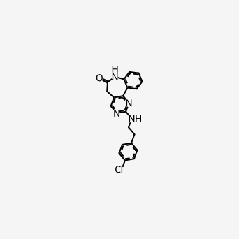 O=C1Cc2cnc(NCCc3ccc(Cl)cc3)nc2-c2ccccc2N1